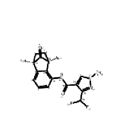 C=C1[C@H]2CC[C@@H]1c1cccc(NC(=O)c3cn(C)nc3C(F)F)c12